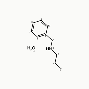 CCCNCc1ccccc1.O